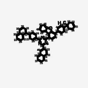 CC1(c2ccc(-c3ccc(-c4nc(-c5ccc(-c6cccc7ccccc67)cc5)nc(-c5ccc6ccccc6c5)n4)c4c3oc3ccccc34)cc2)C=CC=CC1